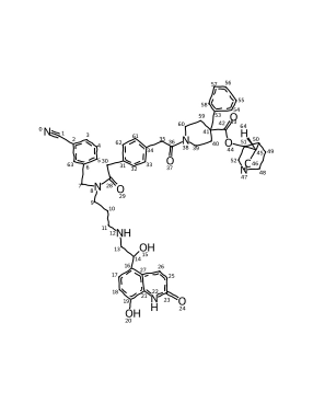 N#Cc1cccc(CN(CCCNCC(O)c2ccc(O)c3[nH]c(=O)ccc23)C(=O)Cc2ccc(CC(=O)N3CCC(C(=O)O[C@H]4CN5CCC4CC5)(c4ccccc4)CC3)cc2)c1